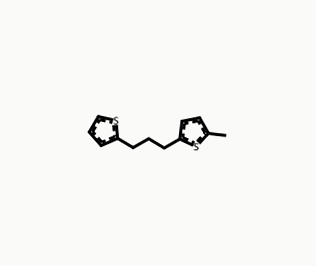 Cc1ccc(CCCc2cccs2)s1